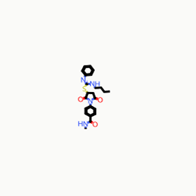 CCCCN/C(=N\c1ccccc1)SC1CC(=O)N(c2ccc(C(=O)NC)cc2)C1=O